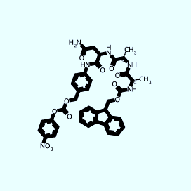 C[C@H](NC(=O)OCC1c2ccccc2-c2ccccc21)C(=O)N[C@@H](C)C(=O)NC(CC(N)=O)C(=O)Nc1ccc(COC(=O)Oc2ccc([N+](=O)[O-])cc2)cc1